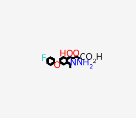 Cc1nc(C(=O)C(N)C(=O)O)c(O)c2ccc(Oc3ccc(F)cc3)cc12